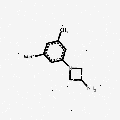 COc1cc(C)cc(N2CC(N)C2)c1